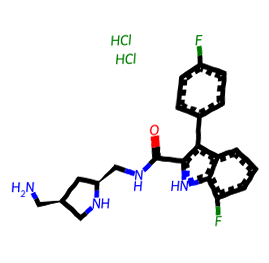 Cl.Cl.NC[C@@H]1CN[C@H](CNC(=O)c2[nH]c3c(F)cccc3c2-c2ccc(F)cc2)C1